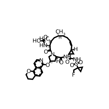 C[C@@H]1CCC=C[C@@H]2C[C@@]2(C(=O)NS(=O)(=O)C2(CF)CC2)NC(=O)[C@@H]2C[C@@H](Oc3nccc4c5c(ccc34)CCCO5)CN2C(=O)[C@@H](NC(=O)O)[C@H](C)C1